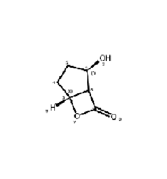 O=C1O[C@@H]2CC[C@@H](O)C12